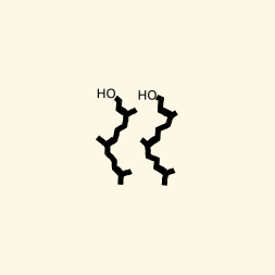 CC(C)=CCCC(C)=CCCC(C)=CCO.CC(C)=CCCC(C)=CCCC(C)=CCO